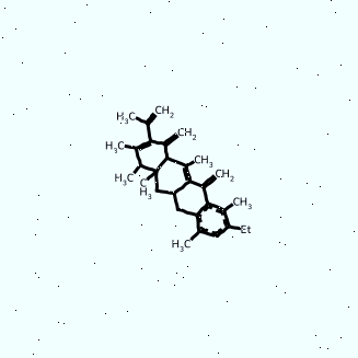 C=C(C)C1=C(C)C(C)C2(C)CC3Cc4c(C)cc(CC)c(C)c4C(=C)C3=C(C)C2C1=C